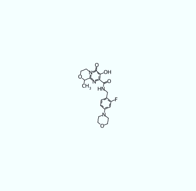 CC1OCCn2c1nc(C(=O)NCc1ccc(N3CCOCC3)cc1F)c(O)c2=O